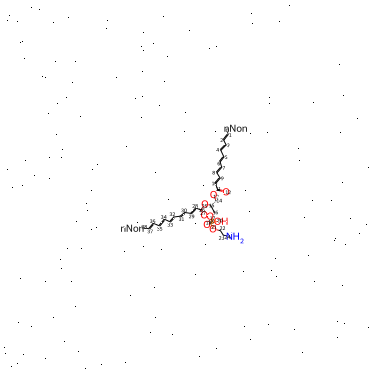 CCCCCCCCCC=CC=CC=CC=CC=CC(=O)OC[C@H](COP(=O)(O)OCCN)OC(=O)C=CC=CC=CC=CC=CCCCCCCCCC